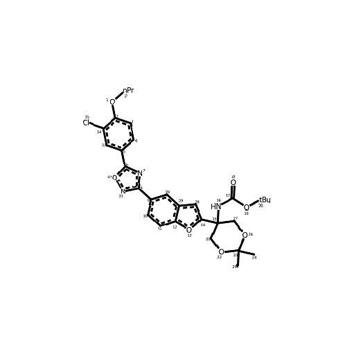 CCCOc1ccc(-c2nc(-c3ccc4oc(C5(NC(=O)OC(C)(C)C)COC(C)(C)OC5)cc4c3)no2)cc1Cl